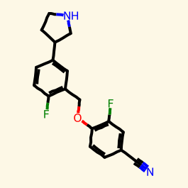 N#Cc1ccc(OCc2cc(C3CCNC3)ccc2F)c(F)c1